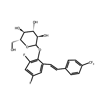 OC[C@H]1OC(Oc2c(F)cc(F)cc2/C=C/c2ccc(C(F)(F)F)cc2)[C@H](O)[C@@H](O)[C@@H]1O